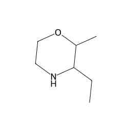 CCC1NCCOC1C